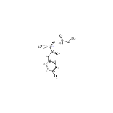 CCOC(=O)/C(=N/NC(=O)OC(C)(C)C)C(=O)Cc1ccc(Cl)cc1